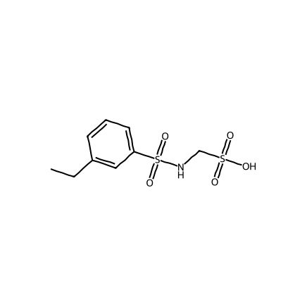 CCc1cccc(S(=O)(=O)NCS(=O)(=O)O)c1